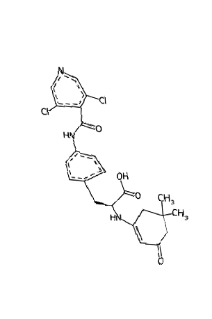 CC1(C)CC(=O)C=C(N[C@@H](Cc2ccc(NC(=O)c3c(Cl)cncc3Cl)cc2)C(=O)O)C1